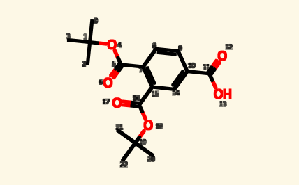 CC(C)(C)OC(=O)c1ccc(C(=O)O)cc1C(=O)OC(C)(C)C